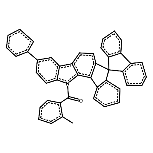 Cc1ccccc1C(=O)n1c2ccc(-c3ccccc3)cc2c2ccc3c(c21)-c1ccccc1C31c2ccccc2-c2ccccc21